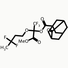 COC(=O)C(OCCC(C)(F)F)(OC(=O)C12CC3CC(C1)C(=O)C(C3)C2)C(F)(F)F